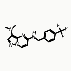 CN(C)c1cnn2ccc(NCc3ccc(C(F)(F)F)cc3)nc12